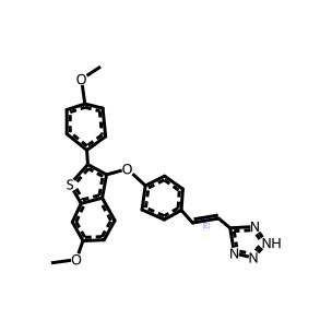 COc1ccc(-c2sc3cc(OC)ccc3c2Oc2ccc(/C=C/c3nn[nH]n3)cc2)cc1